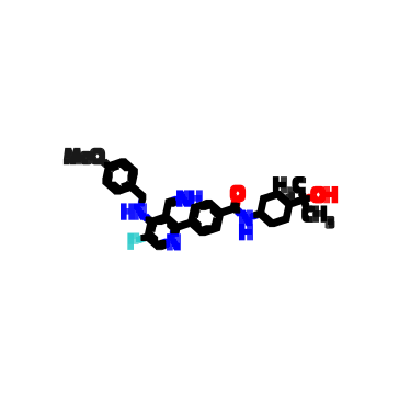 COc1ccc(CNc2c(F)cnc(-c3ccc(C(=O)NC4CCC(C(C)(C)O)CC4)cc3)c2C=N)cc1